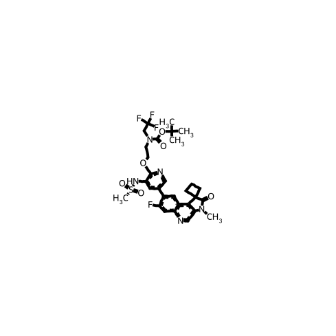 CN1C(=O)C2(CCC2)c2c1cnc1cc(F)c(-c3cnc(OCCN(CC(F)(F)F)C(=O)OC(C)(C)C)c(NS(C)(=O)=O)c3)cc21